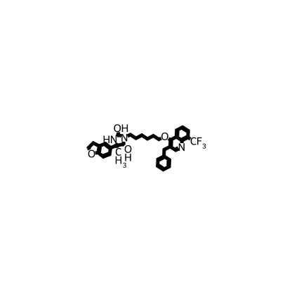 CC1(c2ccc3c(c2)CCO3)NC(O)N(CCCCCCOc2c(Cc3ccccc3)cnc3c(C(F)(F)F)cccc23)C1O